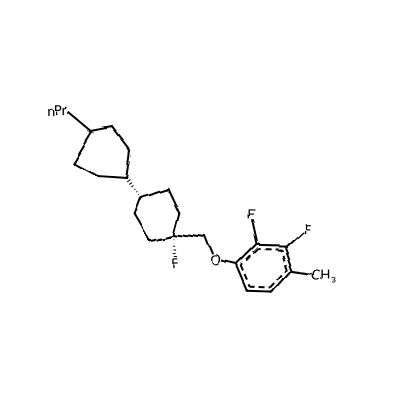 CCCC1CCC([C@H]2CC[C@](F)(COc3ccc(C)c(F)c3F)CC2)CC1